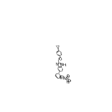 O=[SH](=O)NCc1ccccc1-c1ccc2[nH]c(COc3ccc(C4CC4)cc3)nc2c1